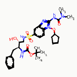 CN(C)C(=O)Nc1nc2cc(S(=O)(=O)NC[C@@H](O)[C@H](Cc3ccccc3)NC(=O)OC(C)(C)C)ccc2n1OC1CCCC1